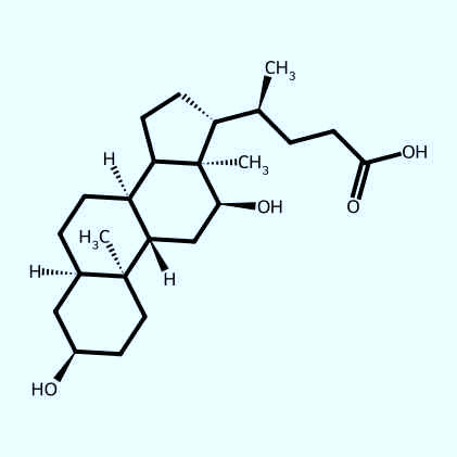 C[C@@H](CCC(=O)O)[C@H]1CCC2[C@@H]3CC[C@@H]4C[C@H](O)CC[C@]4(C)[C@H]3C[C@H](O)[C@@]21C